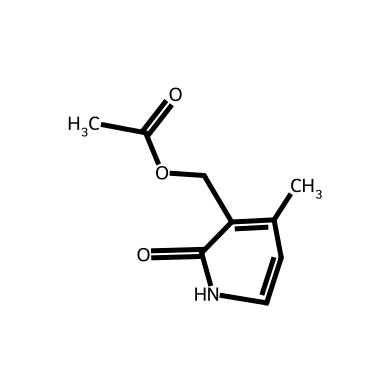 CC(=O)OCc1c(C)cc[nH]c1=O